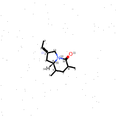 C/C=C1/C[C@H]2C(C)CC(C)C(=O)N2C1